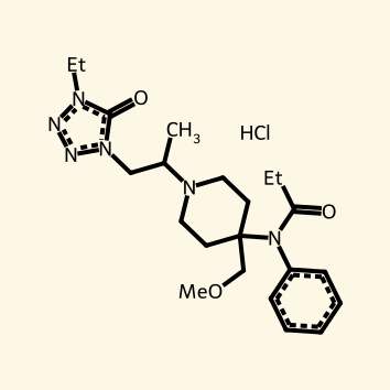 CCC(=O)N(c1ccccc1)C1(COC)CCN(C(C)Cn2nnn(CC)c2=O)CC1.Cl